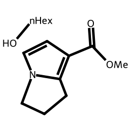 CCCCCCO.COC(=O)c1ccn2c1CCC2